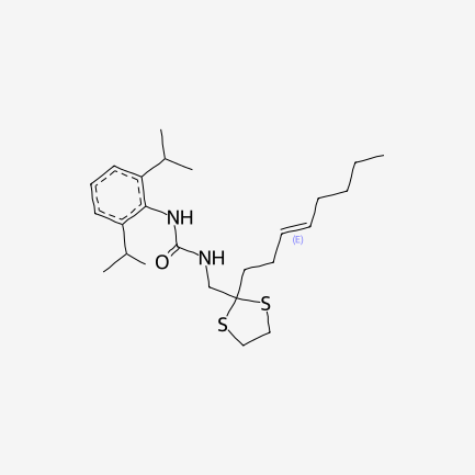 CCCC/C=C/CCC1(CNC(=O)Nc2c(C(C)C)cccc2C(C)C)SCCS1